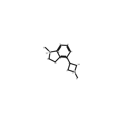 CN1CC(c2cccc3c2CCN3C)C1